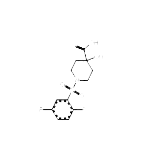 O=C(O)C1(O)CCN(S(=O)(=O)c2cc(F)ccc2F)CC1